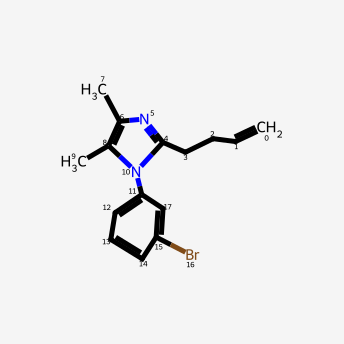 C=CCCc1nc(C)c(C)n1-c1cccc(Br)c1